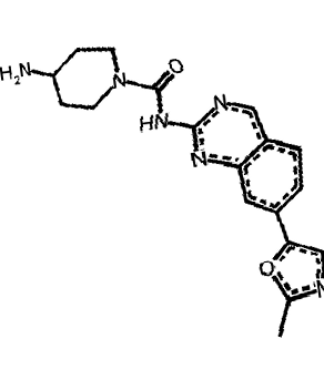 Cc1ncc(-c2ccc3cnc(NC(=O)N4CCC(N)CC4)nc3c2)o1